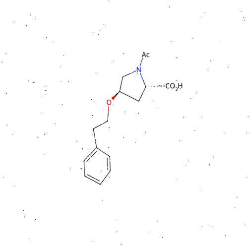 CC(=O)N1C[C@H](OCCc2ccccc2)C[C@H]1C(=O)O